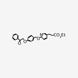 CCOC(=O)CCc1ccc(OCc2ccc(OCC(=O)c3ccccc3)cc2)nc1